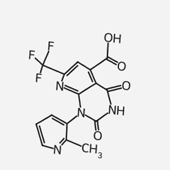 Cc1ncccc1-n1c(=O)[nH]c(=O)c2c(C(=O)O)cc(C(F)(F)F)nc21